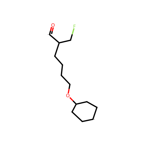 O=[C]C(CF)CCCCOC1CC[CH]CC1